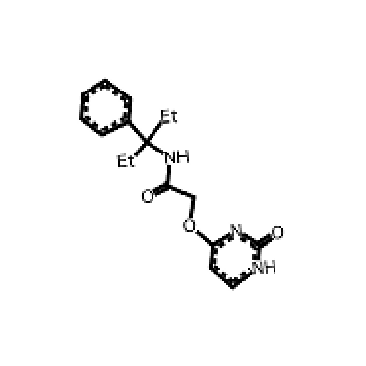 CCC(CC)(NC(=O)COc1cc[nH]c(=O)n1)c1ccccc1